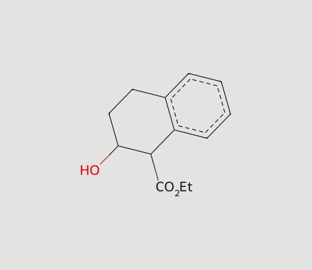 CCOC(=O)C1c2ccccc2CCC1O